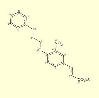 CCOC(=O)C=Cc1ccc(OCCCc2ccccc2)c([N+](=O)[O-])c1